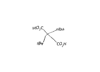 CCCCC(CCC)(C(=O)O)C(=O)O